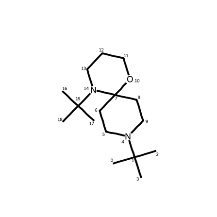 CC(C)(C)N1CCC2(CC1)OCCCN2C(C)(C)C